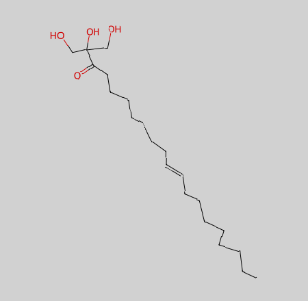 CCCCCCCCC=CCCCCCCCC(=O)C(O)(CO)CO